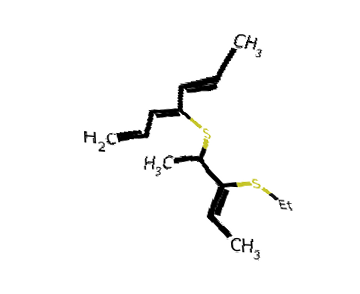 C=C/C=C(/C=C/C)SC(C)/C(=C/C)SCC